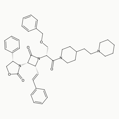 O=C([C@@H](COCc1ccccc1)N1C(=O)[C@@H](N2C(=O)OC[C@@H]2c2ccccc2)[C@H]1/C=C/c1ccccc1)N1CCC(CCN2CCCCC2)CC1